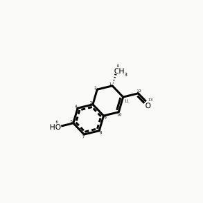 C[C@H]1Cc2cc(O)ccc2C=C1C=O